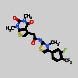 [CH2]n1c(-c2ccc(C(F)(F)F)c(F)c2)cs/c1=N\C(=O)Cc1csc2c1c(=O)n(C)c(=O)n2C